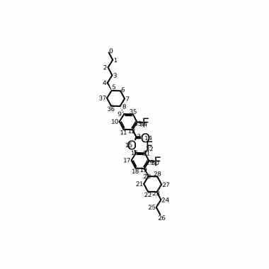 CCCCC[C@H]1CC[C@H](c2ccc(C(=O)Oc3ccc(C4CCC(CCC)CC4)c(F)c3F)c(F)c2)CC1